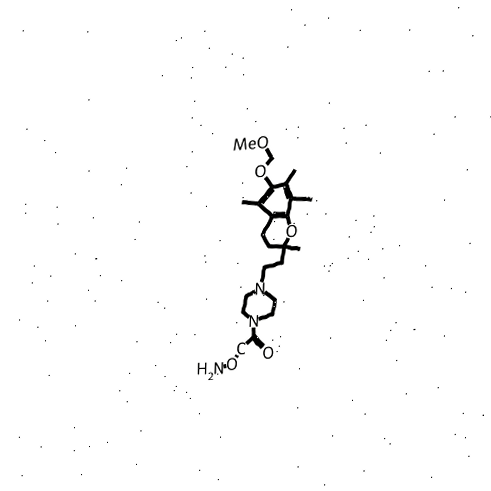 COCOc1c(C)c(C)c2c(c1C)CCC(C)(CCN1CCN(C(=O)CON)CC1)O2